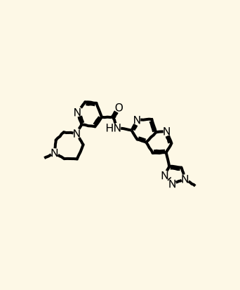 CN1CCCN(c2cc(C(=O)Nc3cc4cc(-c5cn(C)nn5)cnc4cn3)ccn2)CC1